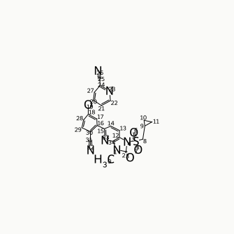 Cn1c(=O)n(S(=O)(=O)CC2CC2)c2ccc(-c3cc(Oc4ccnc(C#N)c4)ccc3C#N)nc21